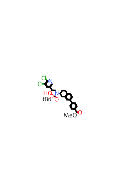 COC(=O)c1ccc(-c2ccc3c(c2)C[C@@H](N(C[C@H](O)c2cnc(Cl)c(Cl)c2)C(=O)OC(C)(C)C)CC3)cc1